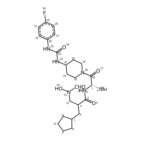 CC(C)(C)[C@H](NC(=O)C(CC1CCCC1)CN(O)C=O)C(=O)N1CCC(NC(=O)Nc2ccc(F)cc2)CC1